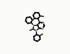 Cc1ccccc1N1c2ncnc(-c3c(C)cccc3C)c2N(c2ccccc2)C1C